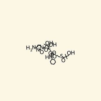 CC(C)(CO)C(=O)SCCOP(=O)(NC1CCCCC1)OC[C@H]1O[C@@H](n2ccc(N)nc2=O)C(C)(O)[C@H]1O